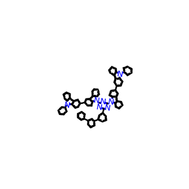 c1ccc(-c2cccc(-c3cccc(-c4nc(-n5c6ccccc6c6cc(-c7ccc8c(c7)c7ccccc7n8-c7ccccc7)ccc65)nc(-n5c6ccccc6c6cc(-c7ccc8c(c7)c7ccccc7n8-c7ccccc7)ccc65)n4)c3)c2)cc1